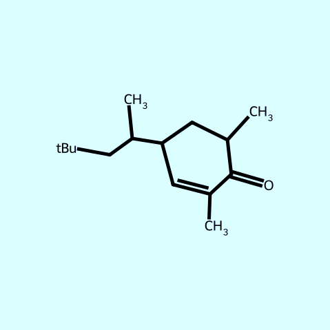 CC1=CC(C(C)CC(C)(C)C)CC(C)C1=O